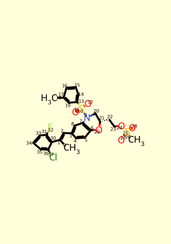 C/C(=C\c1ccc2c(c1)N(S(=O)(=O)c1cccc(C)c1)C[C@H](CCOS(C)(=O)=O)O2)c1c(F)cccc1Cl